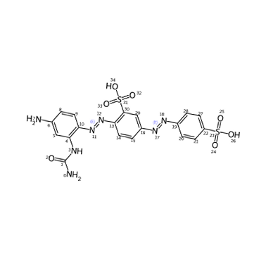 NC(=O)Nc1cc(N)ccc1/N=N/c1ccc(/N=N/c2ccc(S(=O)(=O)O)cc2)cc1S(=O)(=O)O